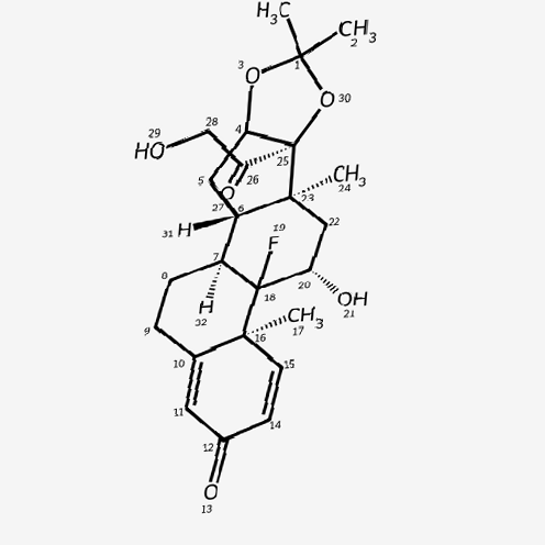 CC1(C)OC2C[C@H]3[C@@H]4CCC5=CC(=O)C=C[C@]5(C)C4(F)[C@@H](O)C[C@]3(C)[C@]2(C(=O)CO)O1